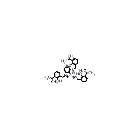 CC(C)c1cccc(C/N=N/[Si](/N=N/Cc2cccc(C(C)C)c2O)(/N=N/Cc2cccc(C(C)C)c2O)c2ccccc2)c1O